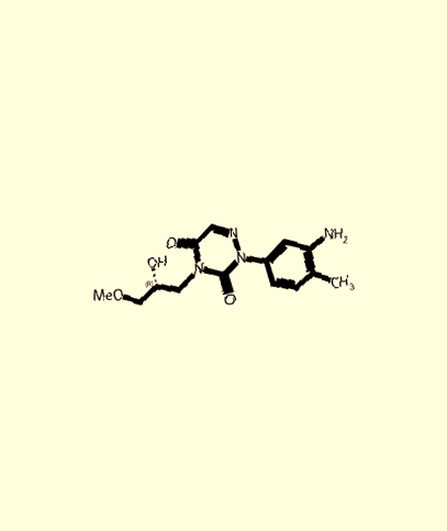 COC[C@H](O)Cn1c(=O)cnn(-c2ccc(C)c(N)c2)c1=O